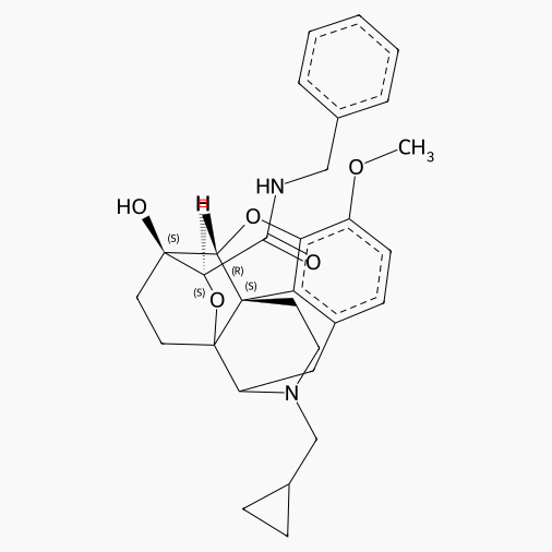 COc1ccc2c3c1O[C@H]1[C@@]4(O)CCC5(O[C@@H]4C(=O)NCc4ccccc4)C(C2)N(CC2CC2)CC[C@]315